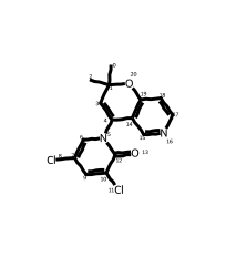 CC1(C)C=C(n2cc(Cl)cc(Cl)c2=O)c2cnccc2O1